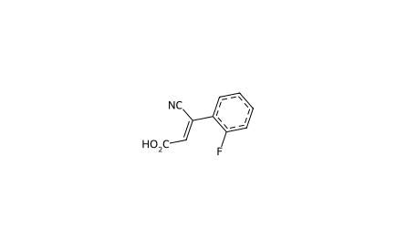 N#CC(=CC(=O)O)c1ccccc1F